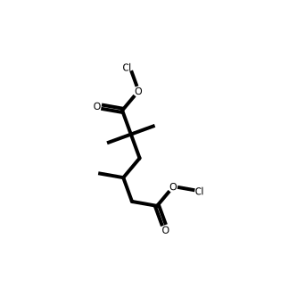 CC(CC(=O)OCl)CC(C)(C)C(=O)OCl